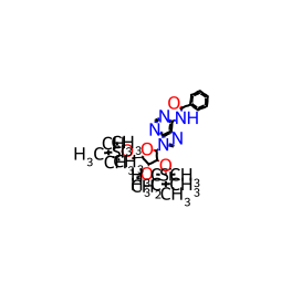 C=CO[C@H]1[C@@H](O[Si](C)(C)C(C)(C)C)[C@H](n2cnc3c(NC(=O)c4ccccc4)ncnc32)O[C@@H]1CO[Si](C)(C)C(C)(C)C